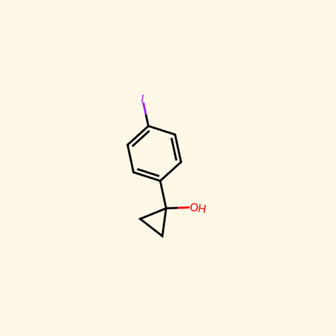 OC1(c2ccc(I)cc2)CC1